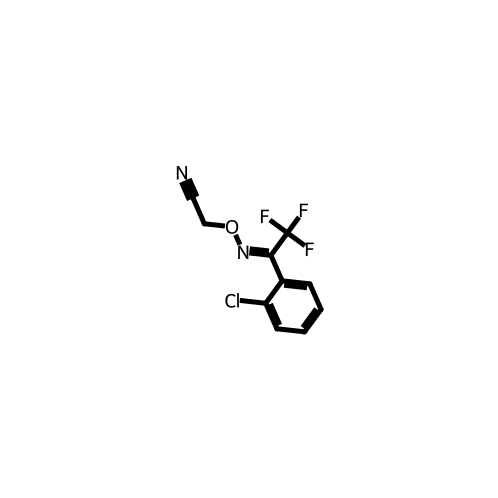 N#CCON=C(c1ccccc1Cl)C(F)(F)F